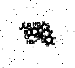 Br.CN(C)S(=O)(=O)c1cc(C2(O)CSC(=Nc3ccccc3)N2C2CC2)ccc1Cl